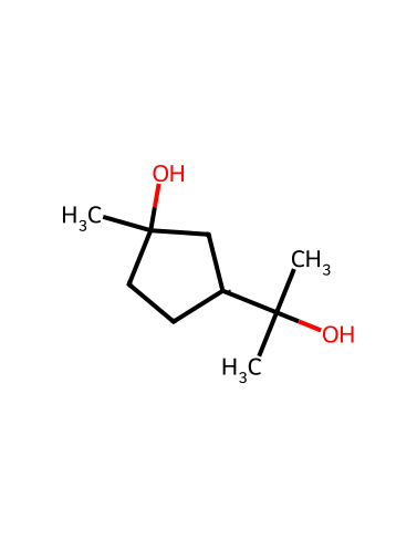 CC1(O)CC[C](C(C)(C)O)C1